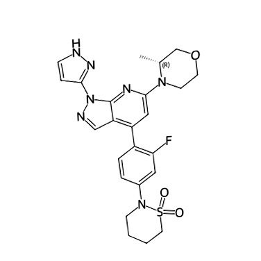 C[C@@H]1COCCN1c1cc(-c2ccc(N3CCCCS3(=O)=O)cc2F)c2cnn(-c3cc[nH]n3)c2n1